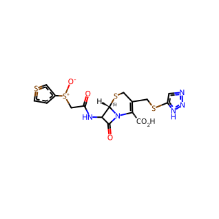 O=C(C[S+]([O-])c1ccsc1)NC1C(=O)N2C(C(=O)O)=C(CSc3cnn[nH]3)CS[C@@H]12